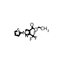 CCOC(=O)c1cn(-c2cccs2)nc1C(F)(F)F